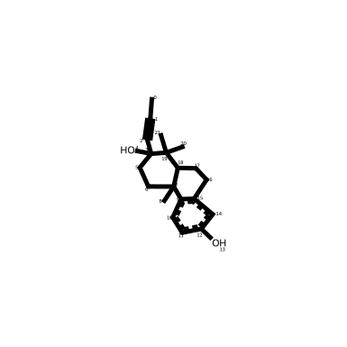 CC#CC1(O)CCC2(C)c3ccc(O)cc3CCC2C1(C)C